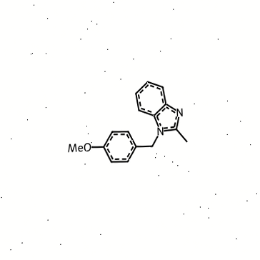 COc1ccc(Cn2c(C)nc3ccccc32)cc1